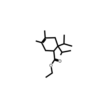 CCOC(=O)C1CC(C)=C(C)CC1(C(C)C)C(C)C